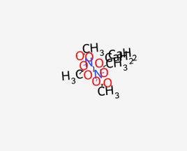 CC(=O)ON(CCN(OC(C)=O)OC(C)=O)OC(C)=O.[CaH2].[CaH2]